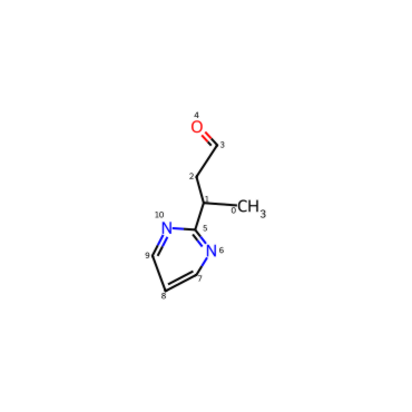 CC(CC=O)c1ncccn1